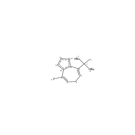 CCCCC(C)(CCCC)C1=CCC=C(F)c2ccoc21